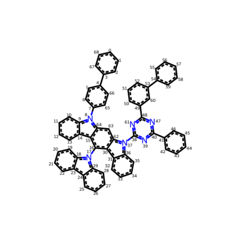 c1ccc(-c2ccc(-n3c4ccccc4c4c(-n5c6ccccc6c6ccccc65)c5c6ccccc6n(-c6nc(-c7ccccc7)nc(-c7cccc(-c8ccccc8)c7)n6)c5cc43)cc2)cc1